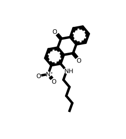 CCCCCNc1c([N+](=O)[O-])ccc2c1C(=O)c1ccccc1C2=O